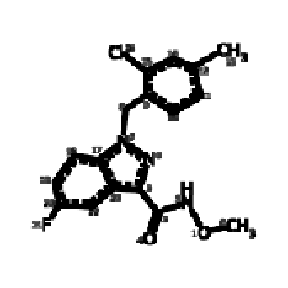 CONC(=O)c1nn(Cc2ccc(C)cc2Cl)c2ccc(F)cc12